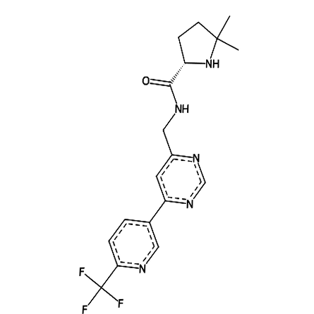 CC1(C)CC[C@@H](C(=O)NCc2cc(-c3ccc(C(F)(F)F)nc3)ncn2)N1